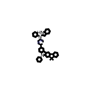 C/C=C(\C=C/C(C)c1ccc2c(c1)c1cc3c(cc1n2-c1ccccc1)C(C)(C)c1ccccc1-3)N(c1ccccc1)c1cc2ccccc2[nH]1